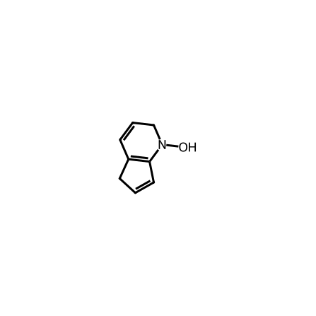 ON1CC=CC2=C1C=CC2